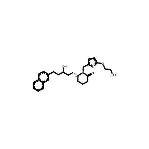 O=C1CCC[C@H](CCC(O)CCc2ccc3ccccc3c2)N1Cc1ccc(OCCO)o1